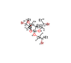 CCC(Br)[Si](C)(C)O[Si](O[Si](C)(C)C(Br)CC)(O[Si](C)(C)C(Br)CC)C(CC)[Si](C)(C)[O]